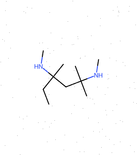 CCC(C)(CC(C)(C)NC)NC